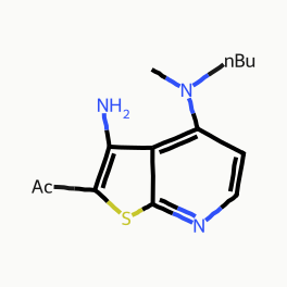 CCCCN(C)c1ccnc2sc(C(C)=O)c(N)c12